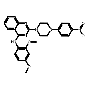 COc1ccc(Nc2nc(N3CCN(c4ccc([N+](=O)[O-])cc4)CC3)nc3ccccc23)c(OC)c1